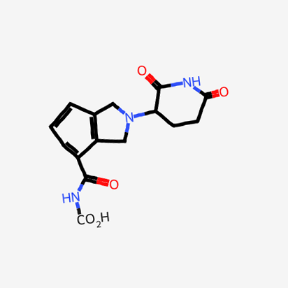 O=C(O)NC(=O)c1cccc2c1CN(C1CCC(=O)NC1=O)C2